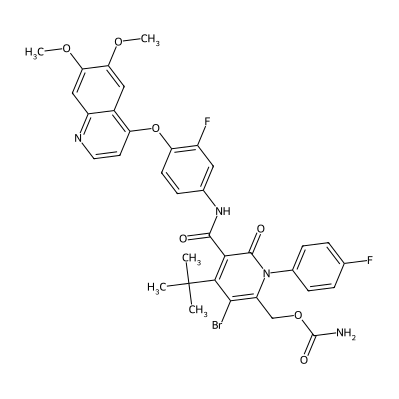 COc1cc2nccc(Oc3ccc(NC(=O)c4c(C(C)(C)C)c(Br)c(COC(N)=O)n(-c5ccc(F)cc5)c4=O)cc3F)c2cc1OC